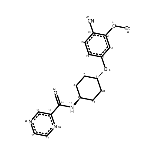 CCOc1cc(O[C@H]2CC[C@H](NC(=O)c3cnccn3)CC2)ccc1C#N